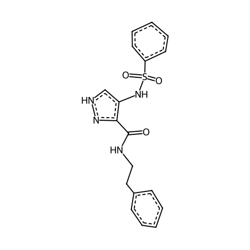 O=C(NCCc1ccccc1)c1n[nH]cc1NS(=O)(=O)c1ccccc1